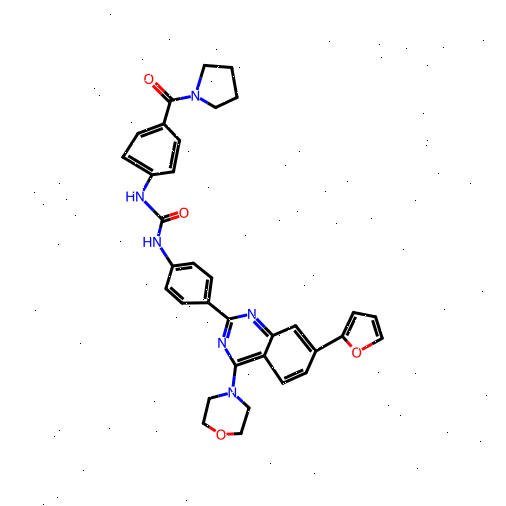 O=C(Nc1ccc(C(=O)N2CCCC2)cc1)Nc1ccc(-c2nc(N3CCOCC3)c3ccc(-c4ccco4)cc3n2)cc1